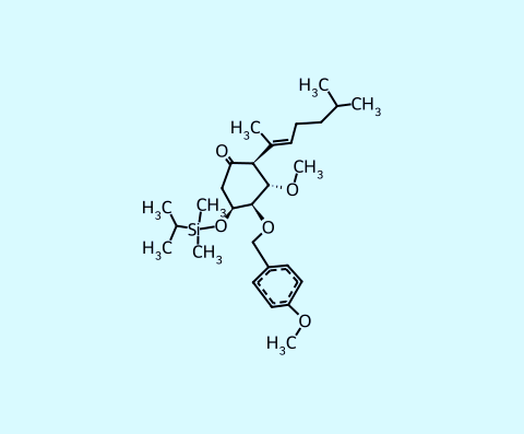 COc1ccc(CO[C@@H]2[C@@H](OC)[C@H](C(C)=CCCC(C)C)C(=O)C[C@@H]2O[Si](C)(C)C(C)C)cc1